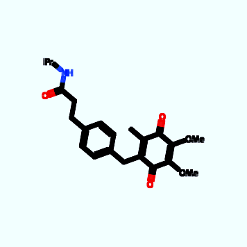 COC1=C(OC)C(=O)C(Cc2ccc(CCC(=O)NC(C)C)cc2)=C(C)C1=O